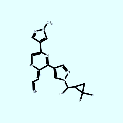 CCC(C1CC1(F)F)n1cc(C2=NC(c3cnn(C)c3)=CN/C2=C\C=N)cn1